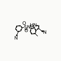 Cc1ccc(NS(=O)(=O)c2cccc(C#N)c2)c2[nH]cc(C#N)c12